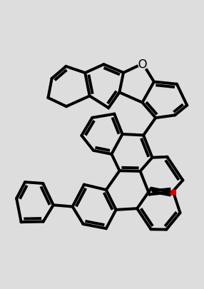 C1=Cc2cc3oc4cccc(-c5c6ccccc6c(-c6cc(-c7ccccc7)ccc6-c6ccccc6)c6ccccc56)c4c3cc2CC1